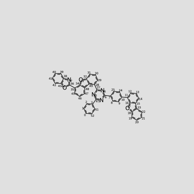 c1ccc(-c2nc(-c3ccc(-c4cccc5c4oc4ccccc45)cc3)nc(-c3cccc4oc5c(-c6nc7ccccc7o6)cccc5c34)n2)cc1